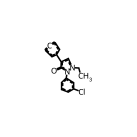 CCn1cc(-c2ccccc2)c(=O)n1-c1cccc(Cl)c1